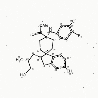 COC(=O)C1(Nc2ccc(F)c(Cl)c2)CCC2(CC1)c1ccc(C)cc1CN2C[C@@H](C)CO